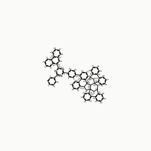 c1ccc(-c2nc(-c3ccc(-c4cccc5c4-c4ccccc4C4CC67CC(CC89CC(CC54C86)c4ccccc4-c4ccccc49)c4ccccc4-c4ccccc47)cc3)nc(-c3cc4ccccc4c4ccccc34)n2)cc1